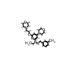 CCN(/N=C/c1cccc(C)c1)c1cc(N2CCOCC2)cc(OCCN2CCOCC2)n1